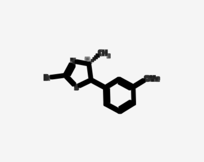 COc1cccc(C2SC(Br)=N[C@@H]2C)c1